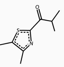 Cc1nc(C(=O)C(C)C)sc1C